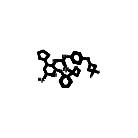 CC1CC(C2CCCC2)C(NC(=O)Nc2ccc(OC3CC(F)(F)C3)cc2)C(Oc2ccccc2C2(C(F)(F)F)CCO2)N1